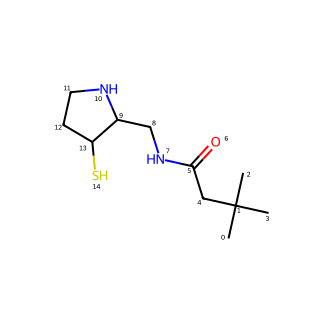 CC(C)(C)CC(=O)NCC1NCCC1S